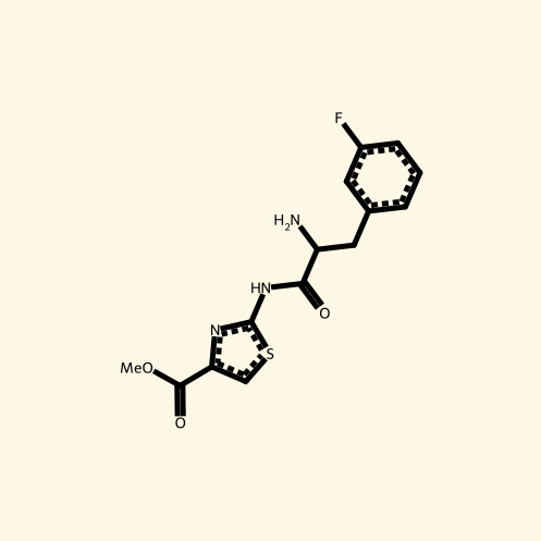 COC(=O)c1csc(NC(=O)C(N)Cc2cccc(F)c2)n1